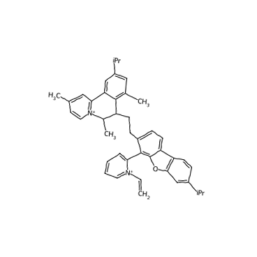 C=C[n+]1ccccc1-c1c(CCC2c3c(C)cc(C(C)C)cc3-c3cc(C)cc[n+]3C2C)ccc2c1oc1cc(C(C)C)ccc12